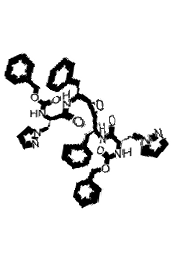 O=C(N[C@@H](Cn1cccn1)C(=O)N[C@@H](Cc1ccccc1)[C@@H]1O[C@@H]1[C@H](Cc1ccccc1)NC(=O)[C@H](Cn1cccn1)NC(=O)OCc1ccccc1)OCc1ccccc1